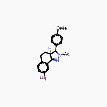 COc1ccc([C@@H]2[C@@H]3CCc4ccc([123I])cc4C3=NN2C(C)=O)cc1